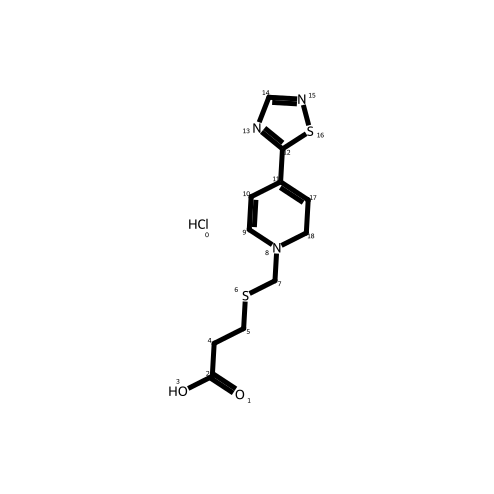 Cl.O=C(O)CCSCN1C=CC(c2ncns2)=CC1